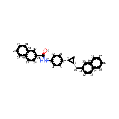 O=C(Nc1ccc([C@@H]2C[C@@H]2Cc2ccc3ccccc3c2)cc1)c1ccc2ccccc2c1